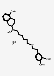 CCCN(CCCCCCNCCc1ccc(OC)c(OC)c1)C1CCc2c(cccc2OC)C1.Cl.Cl